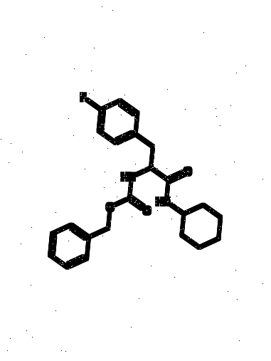 O=C(NC(Cc1ccc(F)cc1)C(=O)NC1CCCCC1)OCc1ccccc1